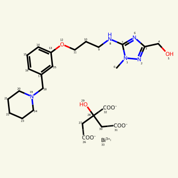 Cn1nc(CO)nc1NCCCOc1cccc(CN2CCCCC2)c1.O=C([O-])CC(O)(CC(=O)[O-])C(=O)[O-].[Bi+3]